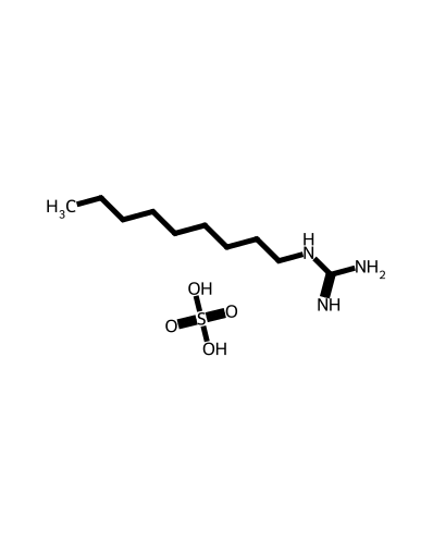 CCCCCCCCCNC(=N)N.O=S(=O)(O)O